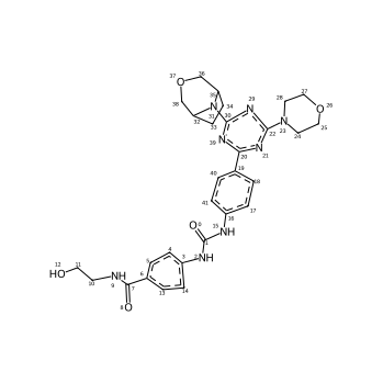 O=C(Nc1ccc(C(=O)NCCO)cc1)Nc1ccc(-c2nc(N3CCOCC3)nc(N3C4CCC3COC4)n2)cc1